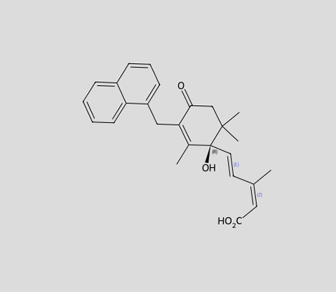 CC1=C(Cc2cccc3ccccc23)C(=O)CC(C)(C)[C@]1(O)/C=C/C(C)=C\C(=O)O